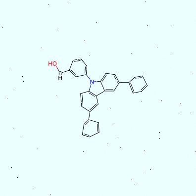 OBc1cccc(-n2c3ccc(-c4ccccc4)cc3c3cc(-c4ccccc4)ccc32)c1